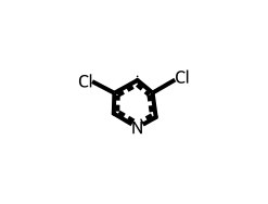 Clc1[c]c(Cl)cnc1